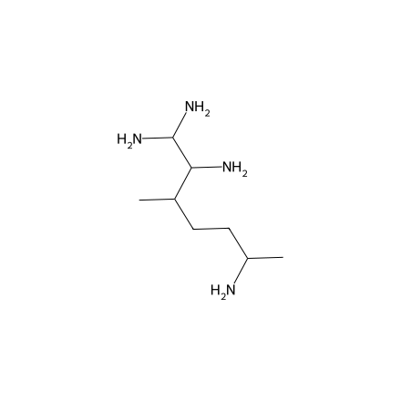 CC(N)CCC(C)C(N)C(N)N